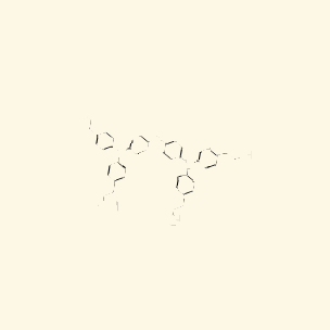 OCCc1ccc([S+](c2ccc(CCO)cc2)c2ccc(Sc3ccc([S+](c4ccc(CCO)cc4)c4ccc(CCO)cc4)cc3)cc2)cc1